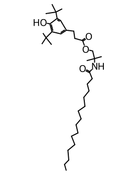 CCCCCCCCCCCCCCCC(=O)NC(C)(C)COC(=O)CCc1cc(C(C)(C)C)c(O)c(C(C)(C)C)c1